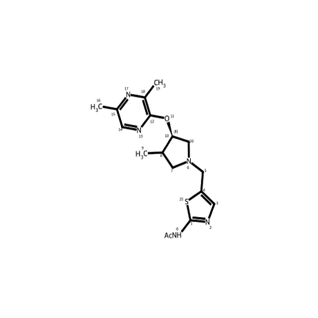 CC(=O)Nc1ncc(CN2CC(C)[C@@H](Oc3ncc(C)nc3C)C2)s1